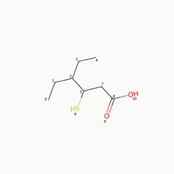 CCC(CC)C(S)CC(=O)O